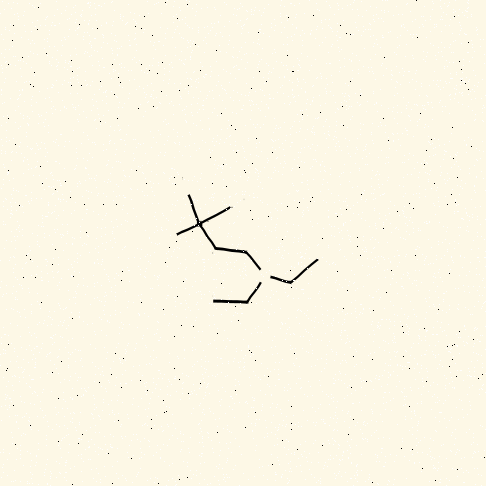 CCP(CC)CCC(F)(F)F